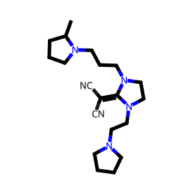 CC1CCCN1CCCN1CCN(CCN2CCCC2)C1=C(C#N)C#N